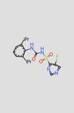 CC(C)c1cccc(C(C)C)c1NC(=O)NS(=O)(=O)c1ncncc1F